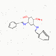 OC1CC(O)C(N=Cc2ccccc2)CC1N=Cc1ccccc1